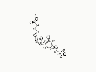 COC(=O)CCCSc1nnc(-c2ccc(OCC3COC3)cc2Cl)o1